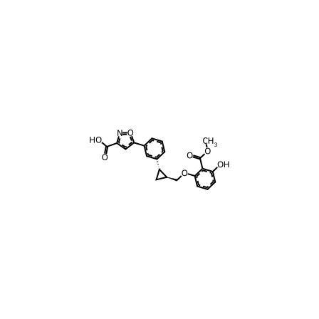 COC(=O)c1c(O)cccc1OC[C@H]1C[C@@H]1c1cccc(-c2cc(C(=O)O)no2)c1